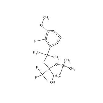 COc1cccc(C(C)(C)CC(CO)(O[Si](C)(C)C)C(F)(F)F)c1F